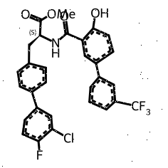 COC(=O)[C@H](Cc1ccc(-c2ccc(F)c(Cl)c2)cc1)NC(=O)c1cc(-c2cccc(C(F)(F)F)c2)ccc1O